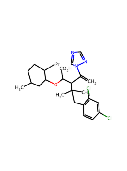 C=C(C(C(OC1CC(C)CCC1C(C)C)C(=O)O)C(C)(C)Cc1ccc(Cl)cc1Cl)n1cncn1